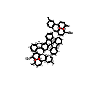 Cc1ccc(-c2cc(C)cnc2N(c2ccc(C(C)(C)C)cc2)c2ccc3c(c2)C2(c4ccccc4-c4ccccc42)c2cc(N(c4ccc(C(C)(C)C)cc4)c4ncc(C)cc4-c4ccc(C)cc4)c4c(oc5ccccc54)c2-3)cc1